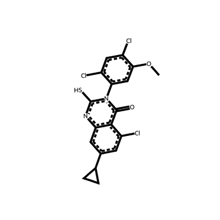 COc1cc(-n2c(S)nc3cc(C4CC4)cc(Cl)c3c2=O)c(Cl)cc1Cl